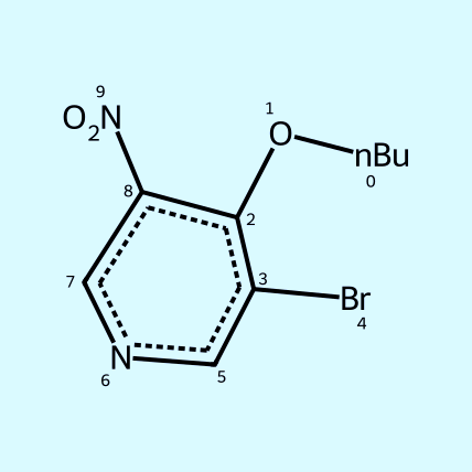 CCCCOc1c(Br)cncc1[N+](=O)[O-]